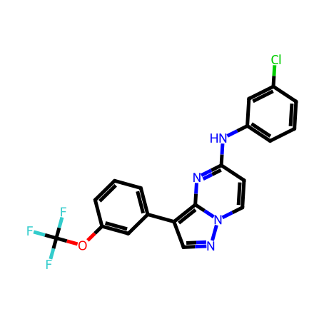 FC(F)(F)Oc1cccc(-c2cnn3ccc(Nc4cccc(Cl)c4)nc23)c1